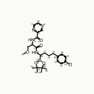 COCC(NC(=O)c1cnccn1)C(=O)NC(CCCc1ccc(Cl)cc1)B1OC(C)(C)C(C)(C)O1